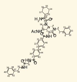 CC(=O)N[C@H]1C[C@@H](CN(CCc2ccccc2)C(=O)CNC(=O)c2ccc(-c3ccc(C(=O)NCC(=O)NCCc4ccccc4)cc3)cc2)N(C(=O)[C@@H](N)C2CCCCC2)C1